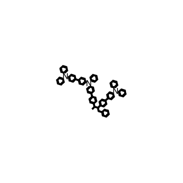 CC(c1ccc(-c2ccc(N(c3ccccc3)c3ccc(-c4ccc(N(c5ccccc5)c5ccccc5)cc4)cc3)cc2)cc1)C(Cc1ccccc1)c1ccc(-c2ccc(N(c3ccccc3)c3ccccc3)cc2)cc1